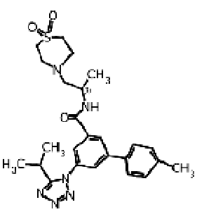 Cc1ccc(-c2cc(C(=O)N[C@H](C)CN3CCS(=O)(=O)CC3)cc(-n3nnnc3C(C)C)c2)cc1